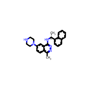 Cc1nnc(N[C@H](C)c2cccc3ccccc23)c2cc(N3CCNCC3)ccc12